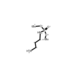 CC(C)(C)OP(=O)(NCCCN)OC(C)(C)C